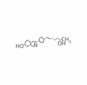 CC(O)CCCC=Cc1ccc(-c2cc3ccc(O)cc3cn2)cc1